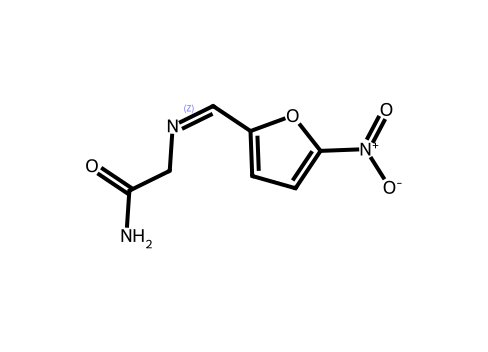 NC(=O)C/N=C\c1ccc([N+](=O)[O-])o1